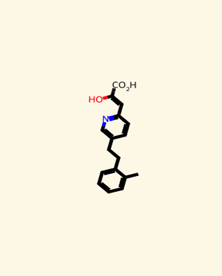 Cc1ccccc1CCc1ccc(/C=C(\O)C(=O)O)nc1